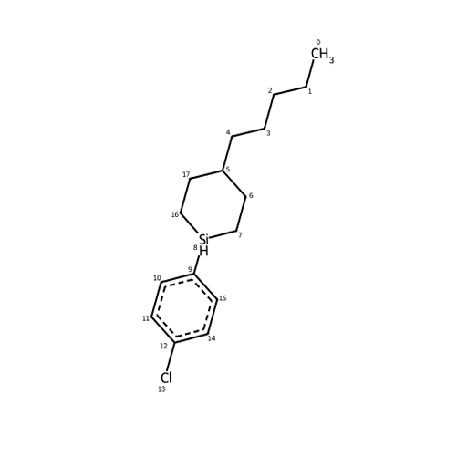 CCCCCC1CC[SiH](c2ccc(Cl)cc2)CC1